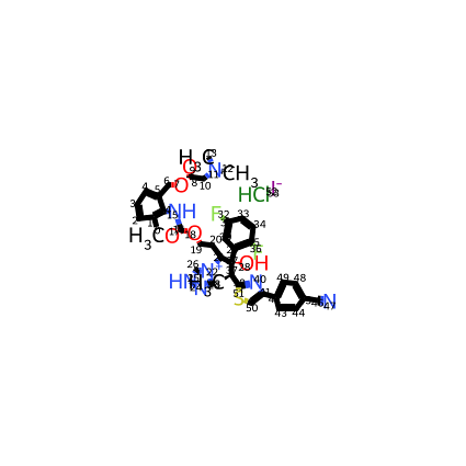 Cc1cccc(COC(=O)CN(C)C)c1NC(=O)OCCC([n+]1cn[nH]c1)[C@@](O)(c1cc(F)ccc1F)[C@H](C)c1nc(-c2ccc(C#N)cc2)cs1.Cl.[I-]